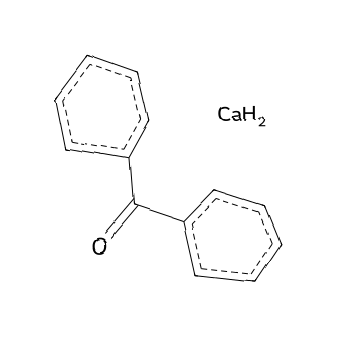 O=C(c1ccccc1)c1ccccc1.[CaH2]